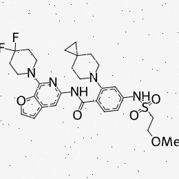 COCCS(=O)(=O)Nc1ccc(C(=O)Nc2cc3ccoc3c(N3CCC(F)(F)CC3)n2)c(N2CCC3(CC2)CC3)c1